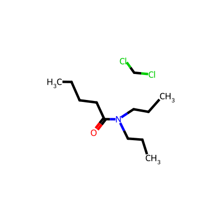 CCCCC(=O)N(CCC)CCC.ClCCl